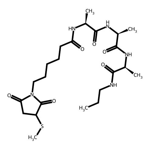 CCCNC(=O)[C@H](C)NC(=O)[C@H](C)NC(=O)[C@H](C)NC(=O)CCCCCN1C(=O)CC(SC)C1=O